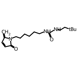 C=C1C=CC(=O)N1CCCCCCNC(=O)NCCC(C)(C)C